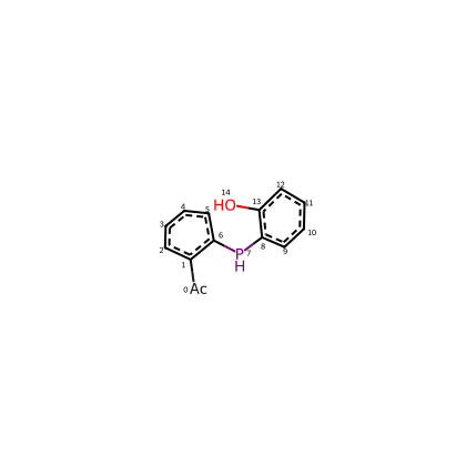 CC(=O)c1ccccc1Pc1ccccc1O